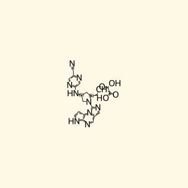 CC[C@@H]1C[C@H](Nc2cnc(C#N)cn2)CN1c1ncc2cnc3[nH]ccc3n12.O=C(O)C(=O)O